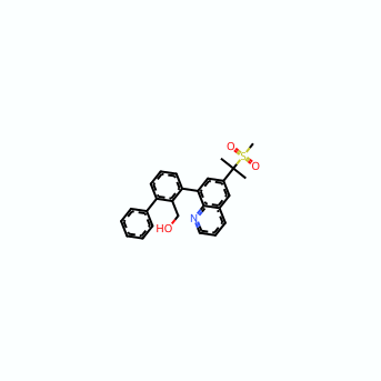 CC(C)(c1cc(-c2cccc(-c3ccccc3)c2CO)c2ncccc2c1)S(C)(=O)=O